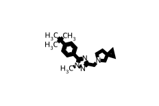 Cn1nc(CN2CCC3(CC3)C2)nc1-c1ccc(C(C)(C)C)cc1